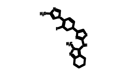 Cc1cn(C2=C(F)CC(c3csc(Nc4c5c(nn4C)CCCC5)n3)C=C2)cn1